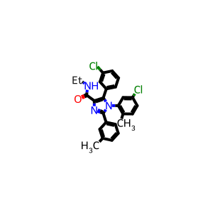 CCNC(=O)c1nc(-c2cccc(C)c2)n(-c2cc(Cl)ccc2C)c1-c1cccc(Cl)c1